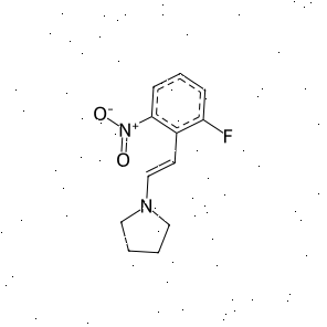 O=[N+]([O-])c1cccc(F)c1C=CN1CCCC1